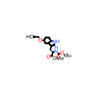 C#CCOc1ccc2[nH]cc(C[C@@H](NC(=O)OC(C)(C)C)C(=O)OC)c2c1